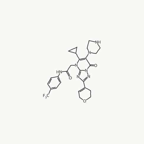 O=C(Cn1c(C2CC2)c(N2CCNCC2)c(=O)n2nc(C3=CCOCC3)nc12)Nc1ccc(C(F)(F)F)cc1